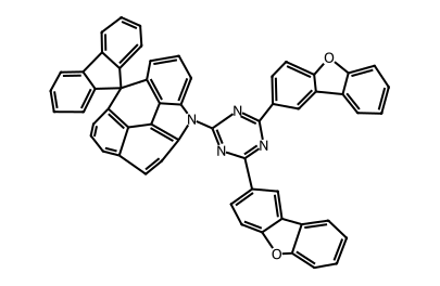 c1ccc2c(c1)-c1ccccc1C21c2cccc3ccc4c(c23)c2c1cccc2n4-c1nc(-c2ccc3oc4ccccc4c3c2)nc(-c2ccc3oc4ccccc4c3c2)n1